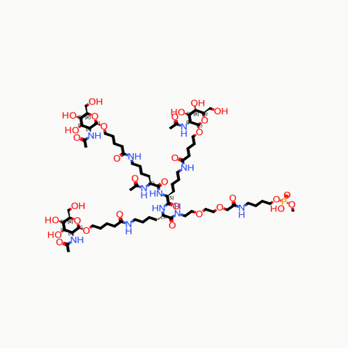 COP(=O)(O)OCCCCNC(=O)COCCOCCNC(=O)[C@H](CCCCNC(=O)CCCCO[C@@H]1O[C@H](CO)[C@H](O)[C@H](O)[C@H]1NC(C)=O)NC(=O)[C@H](CCCCNC(=O)CCCCO[C@@H]1O[C@H](CO)[C@H](O)[C@H](O)[C@H]1NC(C)=O)NC(=O)[C@H](CCCCNC(=O)CCCCO[C@@H]1O[C@H](CO)[C@H](O)[C@H](O)[C@H]1NC(C)=O)NC(C)=O